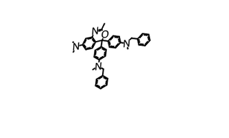 CC1=Nc2cc(N(C)C)ccc2C(c2ccc(N(C)Cc3ccccc3)cc2)(c2ccc(N(C)Cc3ccccc3)cc2)O1